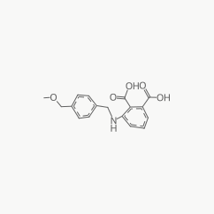 COCc1ccc(CNc2cccc(C(=O)O)c2C(=O)O)cc1